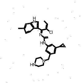 C=C(/N=C(\C(Cl)=C/C)c1c[nH]c2cc(C)ccc12)Nc1cc(CN2CCNCC2)cc(C2CC2)c1